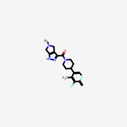 C=C(F)/C(F)=C(\C(=C/C)C1CCN(C(=O)c2n[nH]c3c2CN(C(C)=O)C3)CC1)C(F)(F)F